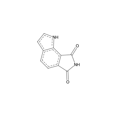 O=C1NC(=O)c2c1ccc1cc[nH]c21